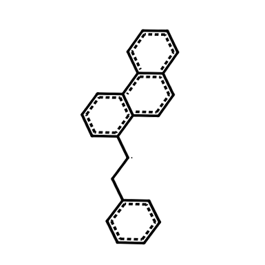 [CH](Cc1ccccc1)c1cccc2c1ccc1ccccc12